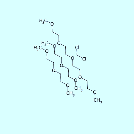 COCCOCCOC.COCCOCCOC.COCCOCCOCCOCCOC.ClCCl